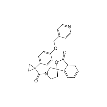 O=C1O[C@]2(CCN(C(=O)C3(c4ccc(OCc5ccncc5)cc4)CC3)C2)c2ccccc21